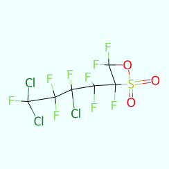 O=S1(=O)OC(F)(F)C1(F)C(F)(F)C(F)(Cl)C(F)(F)C(F)(Cl)Cl